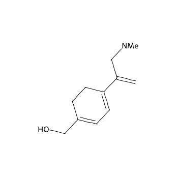 C=C(CNC)C1=CC=C(CO)CC1